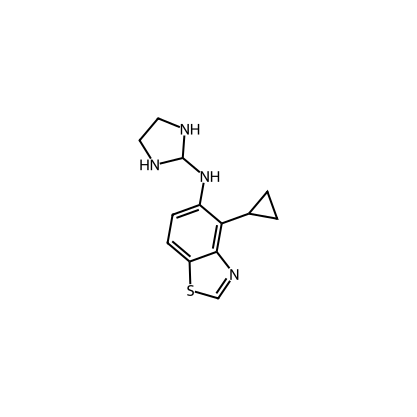 c1nc2c(C3CC3)c(NC3NCCN3)ccc2s1